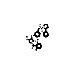 COc1cccc(C)c1C(=O)N1CC(OC)C(Oc2cccc(CS(=O)(=O)N3CCCC3c3ccccn3)c2)C1